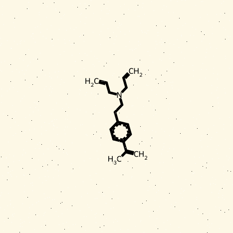 C=CCN(CC=C)CCc1ccc(C(=C)C)cc1